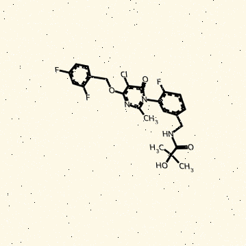 Cc1nc(OCc2ccc(F)cc2F)c(Cl)c(=O)n1-c1cc(CNC(=O)C(C)(C)O)ccc1F